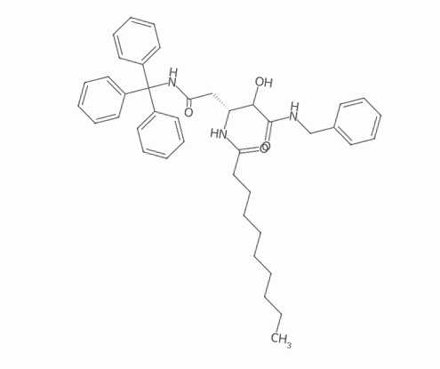 CCCCCCCCCC(=O)N[C@H](CC(=O)NC(c1ccccc1)(c1ccccc1)c1ccccc1)C(O)C(=O)NCc1ccccc1